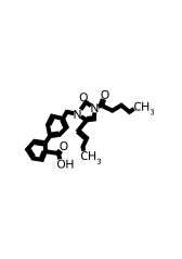 CCC=Cc1cn(C(=O)CCCC)c(=O)n1Cc1ccc(-c2ccccc2C(=O)O)cc1